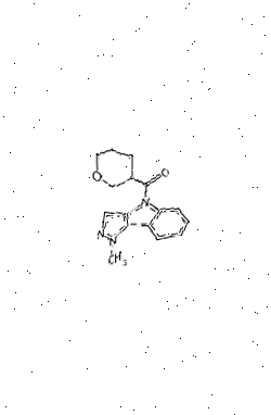 Cn1ncc2c1c1ccccc1n2C(=O)C1CCCOC1